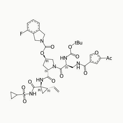 C=C[C@@H]1C[C@]1(NC(=O)[C@@H]1C[C@@H](OC(=O)N2Cc3cccc(F)c3C2)CN1C(=O)[C@H](CNC(=O)c1coc(C(C)=O)c1)NC(=O)OC(C)(C)C)C(=O)NS(=O)(=O)C1CC1